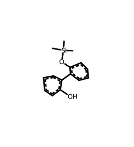 C[Si](C)(C)Oc1ccccc1-c1ccccc1O